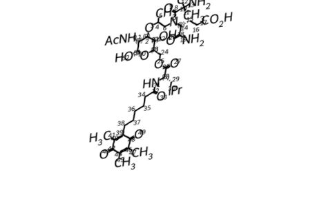 CC(=O)N[C@@H]1[C@@H](OC(C)CN(C(=O)C(C)(C)N)[C@H](CCC(=O)O)C(N)=O)[C@H](O)[C@@H](COC(=O)[C@H](CC(C)C)NC(=O)CCCCCC2=C(C)C(=O)C(C)=C(C)C2=O)O[C@@H]1O